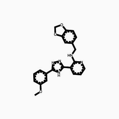 COc1cccc(-c2nnc(-c3cccnc3NCc3ccc4c(c3)OCO4)[nH]2)c1